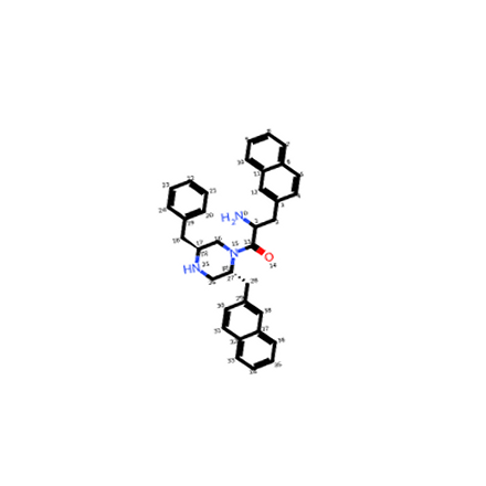 NC(Cc1ccc2ccccc2c1)C(=O)N1C[C@H](Cc2ccccc2)NC[C@H]1Cc1ccc2ccccc2c1